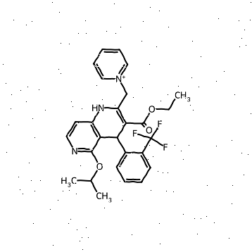 CCOC(=O)C1=C(C[n+]2ccccc2)Nc2ccnc(OC(C)C)c2C1c1ccccc1C(F)(F)F